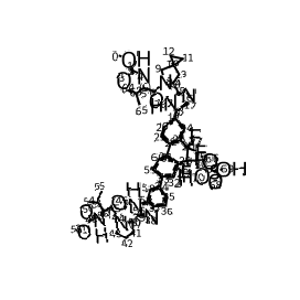 COC(=O)N[C@H](C(=O)N1CC2(CC2)C[C@H]1c1ncc(-c2ccc3c(c2)C(F)(F)C(F)(F)c2cc(-c4ccc5nc([C@@H]6CCCN6C(=O)[C@@H](NC(=O)OC)C(C)C)[nH]c5c4)ccc2-3)[nH]1)C(C)C.O=S(=O)(O)O